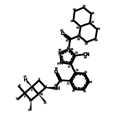 C[C@@H]1C(C)(C)[C@H]2C[C@@H](NC(=O)c3ccccc3-c3nnn(C(=O)N4CCCC5CCCCC54)c3C#N)[C@@]12C